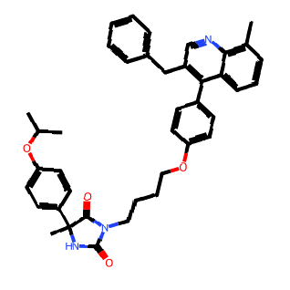 Cc1cccc2c(-c3ccc(OCCCCN4C(=O)NC(C)(c5ccc(OC(C)C)cc5)C4=O)cc3)c(Cc3ccccc3)cnc12